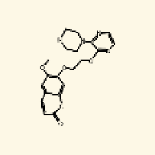 COc1cc2ccc(=O)oc2cc1OCCOc1nccnc1N1CCNCC1